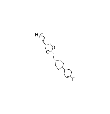 C/C=C/[C@H]1CO[C@H](CC[C@H]2CC[C@H](C3CC=C(F)CC3)CC2)OC1